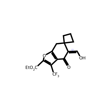 CCOC(=O)c1oc2c(c1C(F)(F)F)C(=O)/C(=C\O)C1(CCC1)C2